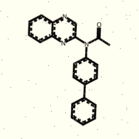 CC(=O)N(c1ccc(-c2ccccc2)cc1)c1cnc2ccccc2n1